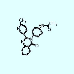 CC(=O)Nc1ccc(-n2c(-c3ccc(C)nc3)nc3ccccc3c2=O)cc1